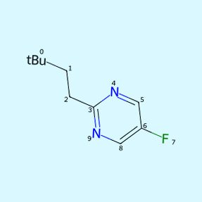 CC(C)(C)CCc1ncc(F)cn1